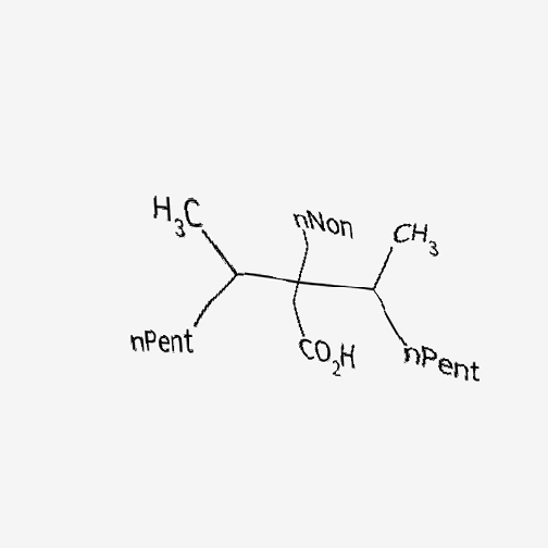 CCCCCCCCCC(C(=O)O)(C(C)CCCCC)C(C)CCCCC